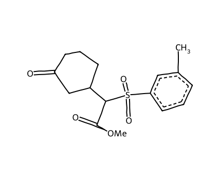 COC(=O)C(C1CCCC(=O)C1)S(=O)(=O)c1cccc(C)c1